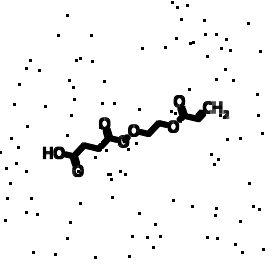 C=CC(=O)OCCOOC(=O)CCC(=O)O